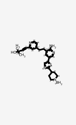 BN1CCC(c2ncc(-c3cnc(N)c(CCc4ccnc(C#CC(C)(C)O)c4)c3)s2)CC1